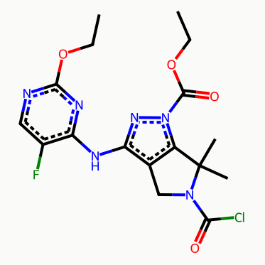 CCOC(=O)n1nc(Nc2nc(OCC)ncc2F)c2c1C(C)(C)N(C(=O)Cl)C2